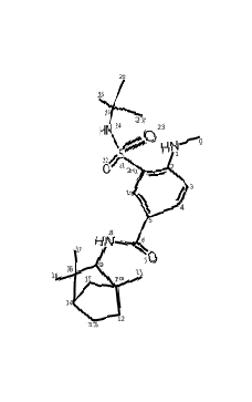 CNc1ccc(C(=O)NC2C3(C)CCC(C3)C2(C)C)cc1S(=O)(=O)NC(C)(C)C